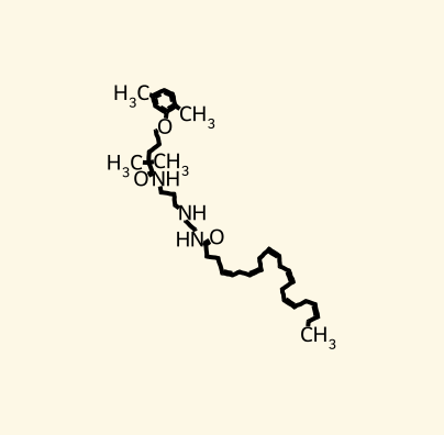 CC/C=C\C/C=C\C/C=C\C/C=C\C/C=C\C/C=C\CCC(=O)NCCNCCCNC(=O)C(C)(C)CCCOc1cc(C)ccc1C